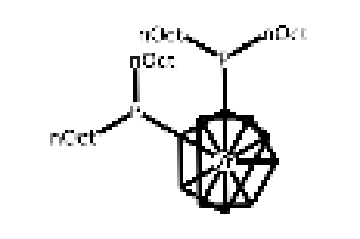 CCCCCCCCP(CCCCCCCC)[C]12[CH]3[CH]4[CH]5[C]1(P(CCCCCCCC)CCCCCCCC)[Zr]43521678[CH]2[CH]1[CH]6[CH]7[CH]28